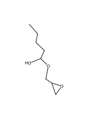 CCCCC(O)OCC1CO1